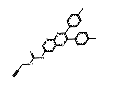 C#CCNC(=O)Nc1cnc2nc(-c3ccc(C)cc3)c(-c3ccc(C)cc3)nc2c1